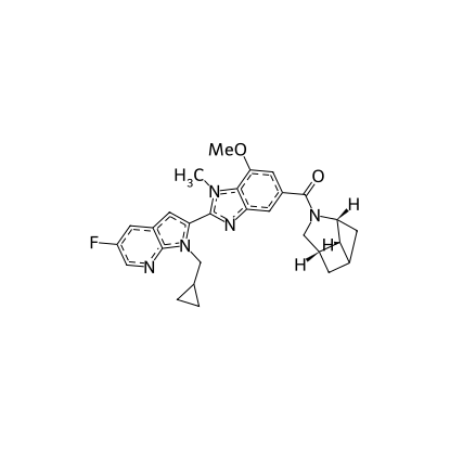 COc1cc(C(=O)N2C[C@H]3CC4C[C@@H]2[C@H]43)cc2nc(-c3cc4cc(F)cnc4n3CC3CC3)n(C)c12